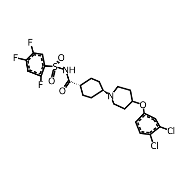 O=C(NS(=O)(=O)c1cc(F)c(F)cc1F)[C@H]1CC[C@H](N2CCC(Oc3ccc(Cl)c(Cl)c3)CC2)CC1